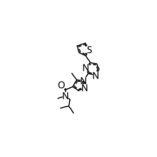 Cc1c(C(=O)N(C)CC(C)C)cnn1-c1nccc(-c2cccs2)n1